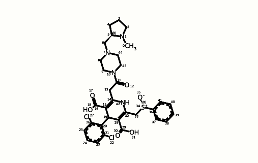 CN1CCC[C@@H]1CN1CCN(C(=O)CC2=C(C(=O)O)C(c3c(Cl)cccc3Cl)C(C(=O)O)=C(C[S@+]([O-])c3ccccc3)N2)CC1